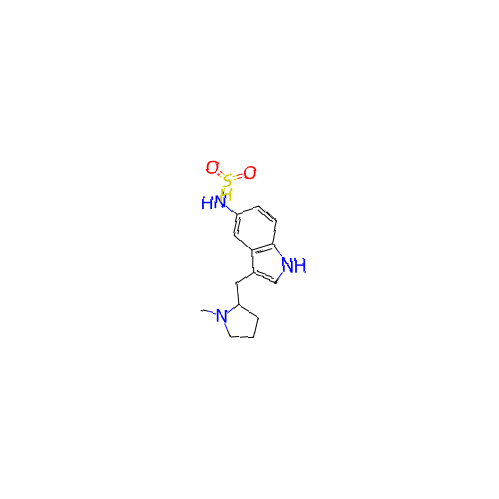 CN1CCCC1Cc1c[nH]c2ccc(N[SH](=O)=O)cc12